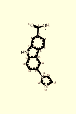 O=C(O)c1ccc2c(c1)[nH]c1ccc(-n3ccnc3)cc12